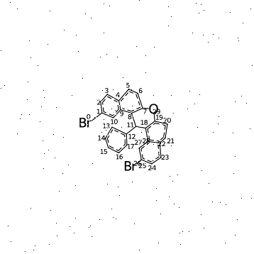 Brc1ccc2ccc3c(c2c1)C(c1ccccc1)c1c(ccc2ccc(Br)cc12)O3